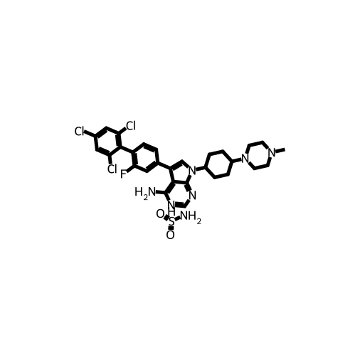 CN1CCN(C2CCC(n3cc(-c4ccc(-c5c(Cl)cc(Cl)cc5Cl)c(F)c4)c4c(N)ncnc43)CC2)CC1.N[SH](=O)=O